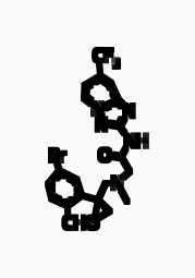 CN(CC(=O)Nc1nc2cc(C(F)(F)F)ccn2n1)CC1(c2cc(Br)ccc2C=O)CC1